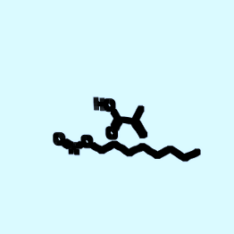 C=C(C)C(=O)O.CCCCCCCCON=O